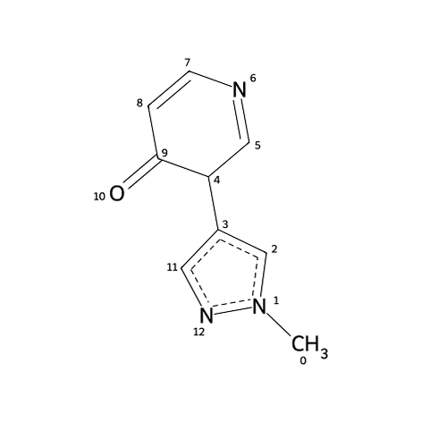 Cn1cc(C2C=NC=CC2=O)cn1